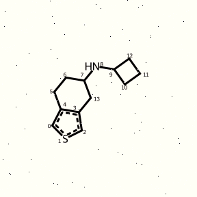 c1scc2c1CCC(NC1CCC1)C2